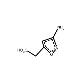 Nc1cc(CC(=O)O)on1